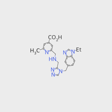 CCn1cnc2cc(Cn3cnnc3CNCc3cc(C(=O)O)cc(C)n3)ccc21